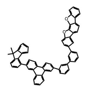 CC1(C)c2ccccc2-c2c(-c3ccc4c5ccc(-c6cccc(-c7cccc(-c8ccc9oc%10c(ccc%11c%12ccccc%12oc%11%10)c9c8)c7)c6)cc5c5ccccc5c4c3)cccc21